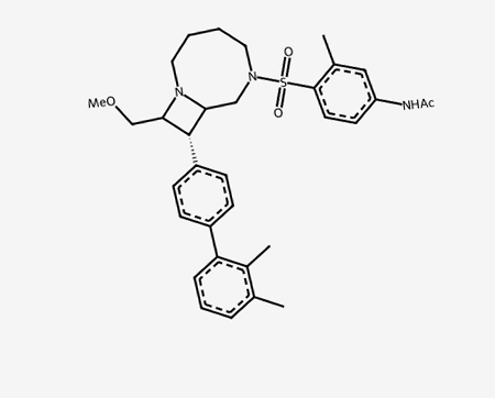 COCC1[C@@H](c2ccc(-c3cccc(C)c3C)cc2)C2CN(S(=O)(=O)c3ccc(NC(C)=O)cc3C)CCCCN12